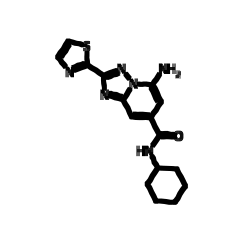 Nc1cc(C(=O)NC2CCCCC2)cc2nc(-c3nccs3)nn12